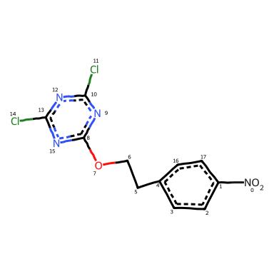 O=[N+]([O-])c1ccc(CCOc2nc(Cl)nc(Cl)n2)cc1